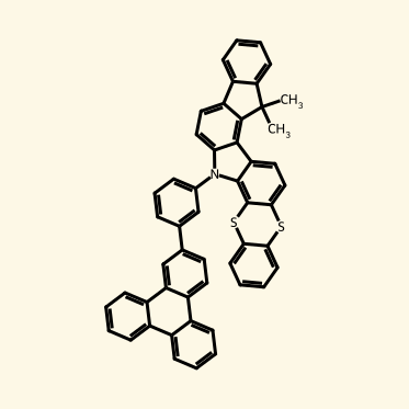 CC1(C)c2ccccc2-c2ccc3c(c21)c1ccc2c(c1n3-c1cccc(-c3ccc4c5ccccc5c5ccccc5c4c3)c1)Sc1ccccc1S2